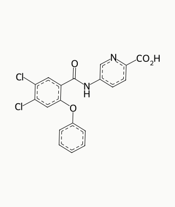 O=C(O)c1ccc(NC(=O)c2cc(Cl)c(Cl)cc2Oc2ccccc2)cn1